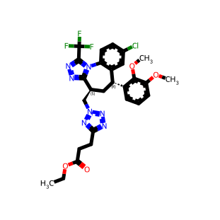 CCOC(=O)CCc1nnn(C[C@@H]2C[C@@H](c3cccc(OC)c3OC)c3cc(Cl)ccc3-n3c2nnc3C(F)(F)F)n1